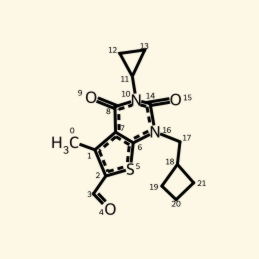 Cc1c(C=O)sc2c1c(=O)n(C1CC1)c(=O)n2CC1CCC1